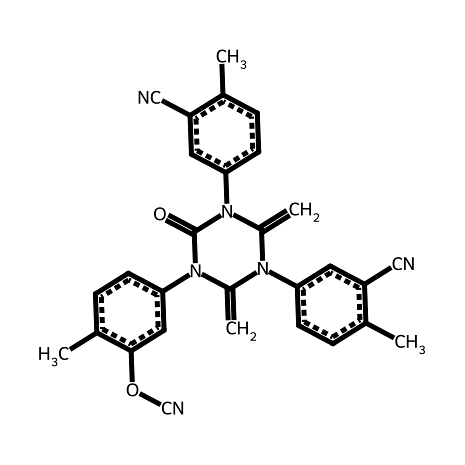 C=C1N(c2ccc(C)c(C#N)c2)C(=C)N(c2ccc(C)c(OC#N)c2)C(=O)N1c1ccc(C)c(C#N)c1